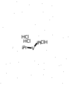 C[CH](C)[V][CH](C)C.Cl.Cl.Cl